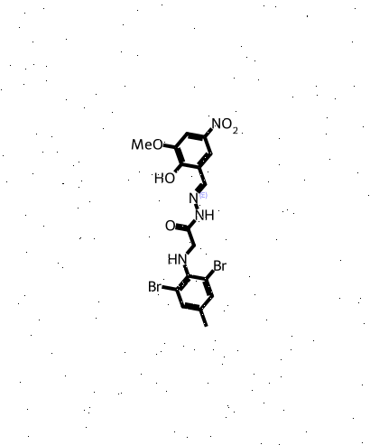 COc1cc([N+](=O)[O-])cc(/C=N/NC(=O)CNc2c(Br)cc(C)cc2Br)c1O